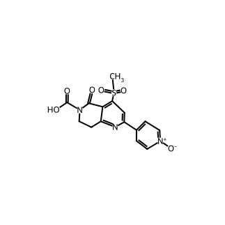 CS(=O)(=O)c1cc(-c2cc[n+]([O-])cc2)nc2c1C(=O)N(C(=O)O)CC2